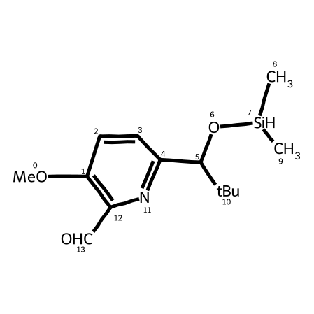 COc1ccc(C(O[SiH](C)C)C(C)(C)C)nc1C=O